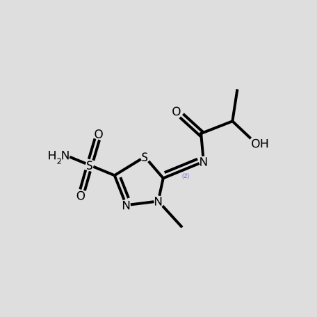 CC(O)C(=O)/N=c1\sc(S(N)(=O)=O)nn1C